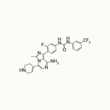 Cc1nc(-c2ccc(NC(=O)Nc3cccc(C(F)(F)F)c3)cc2F)c2c(N)ncc(C3=CCNCC3)n12